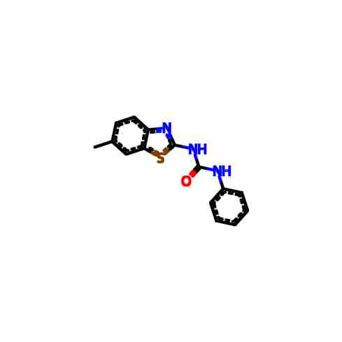 Cc1ccc2nc(NC(=O)Nc3ccccc3)sc2c1